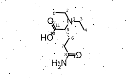 CCN(CC)[C@H](CCC(N)=O)C(=O)O